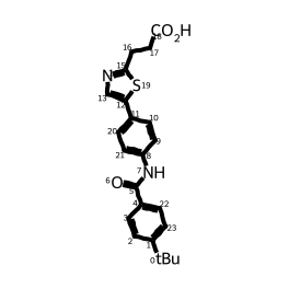 CC(C)(C)c1ccc(C(=O)Nc2ccc(-c3cnc(CCC(=O)O)s3)cc2)cc1